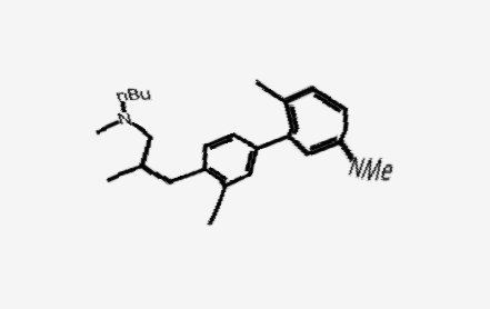 CCCCN(C)CC(C)Cc1ccc(-c2cc(NC)ccc2C)cc1C